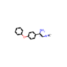 [C-]#[N+]/C=C(\N)c1ccc(Oc2ccccc2)cc1